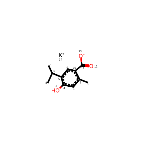 Cc1cc(O)c(C(C)C)cc1C(=O)[O-].[K+]